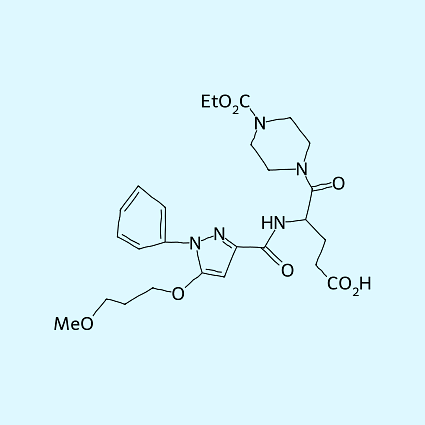 CCOC(=O)N1CCN(C(=O)C(CCC(=O)O)NC(=O)c2cc(OCCCOC)n(-c3ccccc3)n2)CC1